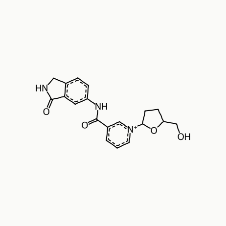 O=C(Nc1ccc2c(c1)C(=O)NC2)c1ccc[n+](C2CCC(CO)O2)c1